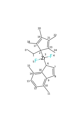 CC[C]1([Zr]([F])([F])[CH]2C=Cc3c(C)ccc(C)c32)C(C)=C(C)C(C)=C1C